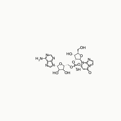 Nc1ncnc2c1ncn2[C@@H]1O[C@H](CO[P@@](=O)(S)O[C@@H]2[C@H](O)[C@@H](CO)O[C@H]2n2ccc(=O)n3ccnc23)[C@@H](O)[C@H]1O